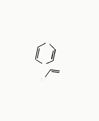 C1=COC=CO1.O=CO